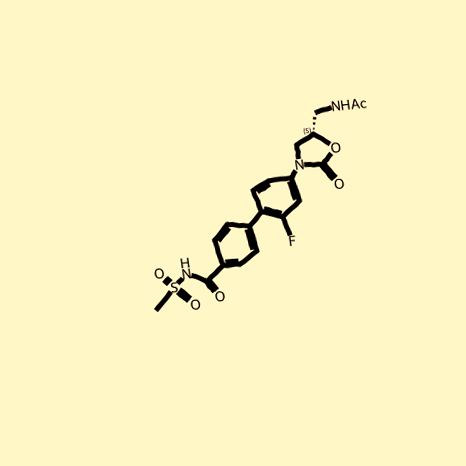 CC(=O)NC[C@H]1CN(c2ccc(-c3ccc(C(=O)NS(C)(=O)=O)cc3)c(F)c2)C(=O)O1